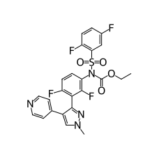 CCOC(=O)N(c1ccc(F)c(-c2nn(C)cc2-c2ccncc2)c1F)S(=O)(=O)c1cc(F)ccc1F